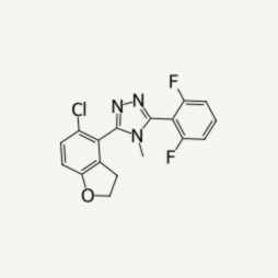 Cn1c(-c2c(F)cccc2F)nnc1-c1c(Cl)ccc2c1CCO2